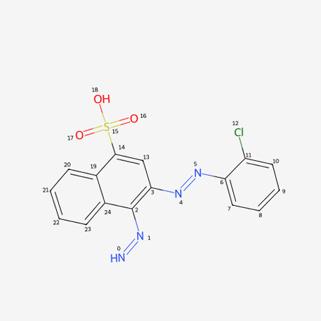 N=Nc1c(/N=N/c2ccccc2Cl)cc(S(=O)(=O)O)c2ccccc12